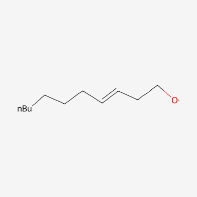 CCCCCCCC=CCC[O]